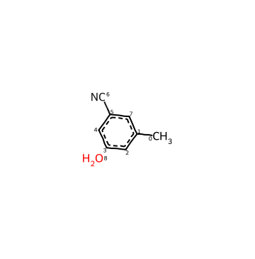 Cc1cccc(C#N)c1.O